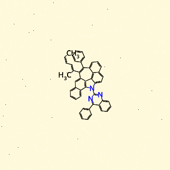 C/C=C\C=C(/C)C1=C(c2ccccc2)c2cccc3ccc4c(c23)c2c1cc1ccccc1c2n4-c1nc(-c2ccccc2)c2ccccc2n1